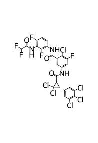 O=C(Nc1ccc(F)c(NC(=O)C(F)F)c1F)c1cc(NC(=O)C2[C@H](c3cc(Cl)c(Cl)c(Cl)c3)C2(Cl)Cl)cc(F)c1Cl